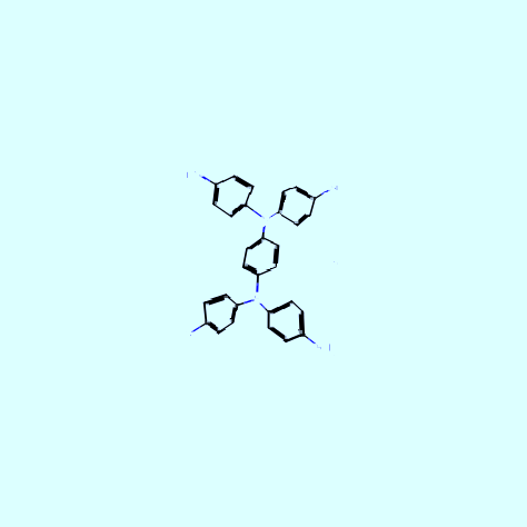 Nc1ccc(N(c2ccc(N)cc2)c2ccc(N(c3ccc(N)cc3)c3ccc(N)cc3)cc2)cc1.[N]